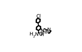 NC(=O)c1ccc(-c2ccc(Cl)cc2)cc1NCc1ncc[nH]1